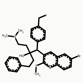 CSc1nc2ccc(Br)cc2cc1C(c1ccc(CI)cc1)C(O)(CCc1ccccc1)CCN(C)C